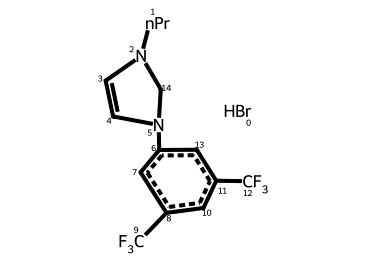 Br.CCCN1C=CN(c2cc(C(F)(F)F)cc(C(F)(F)F)c2)C1